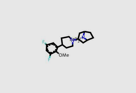 CCOC(=O)N1C2CCC1CC(N1CCC(c3cc(F)cc(F)c3OC)CC1)C2